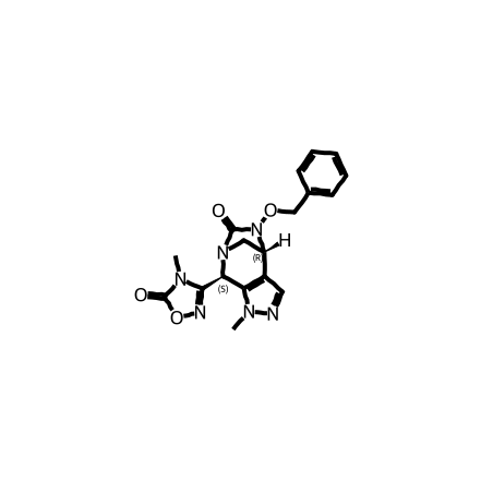 Cn1ncc2c1[C@@H](c1noc(=O)n1C)N1C[C@@H]2N(OCc2ccccc2)C1=O